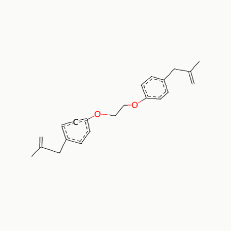 C=C(C)Cc1ccc(OCCOc2ccc(CC(=C)C)cc2)cc1